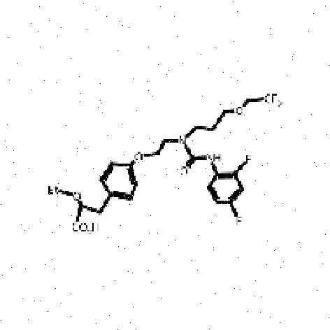 CCOC(Cc1ccc(OCCN(CCCOCC(F)(F)F)C(=O)Nc2ccc(F)cc2F)cc1)C(=O)O